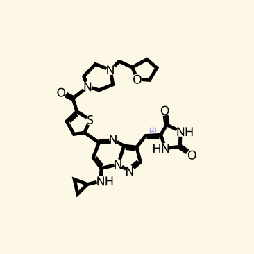 O=C1NC(=O)/C(=C/c2cnn3c(NC4CC4)cc(C4CC=C(C(=O)N5CCN(CC6CCCO6)CC5)S4)nc23)N1